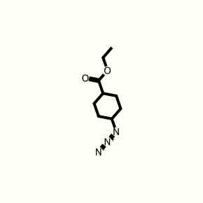 CCOC(=O)C1CCC(N=[N+]=[N-])CC1